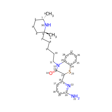 C[C@H]1CCC[C@@](C)(CCCCCN2C(=O)C(c3cccc(N)n3)Sc3ccccc32)N1